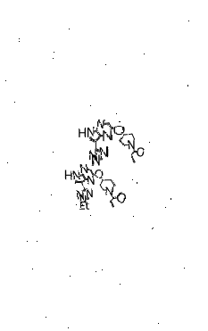 C=CC(=O)N1CCC(Oc2cnc3[nH]cc(-c4ncn(C)n4)c3n2)CC1.C=CC(=O)N1CCC(Oc2cnc3[nH]cc(-c4ncn(CC)n4)c3n2)CC1